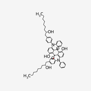 CCCCCCCC(O)Cc1ccc(N(c2ccccc2)c2ccc(O)c3c2C(=O)c2c(O)ccc(N(c4ccccc4)c4ccc(CC(O)CCCCCCC)cc4)c2C3=O)cc1